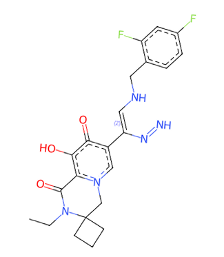 CCN1C(=O)c2c(O)c(=O)c(/C(=C/NCc3ccc(F)cc3F)N=N)cn2CC12CCC2